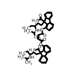 CCC(CCC1(C(N)=O)c2ccccc2-c2cccc(OC(=O)/C=C\C(=O)Oc3cccc4c3C(CCC(CC)NC(C)C)(C(N)=O)c3ccccc3-4)c21)NC(C)C